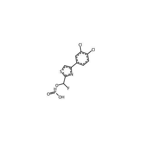 O=[PH](O)OC(F)c1nc(-c2ccc(Cl)c(Cl)c2)cs1